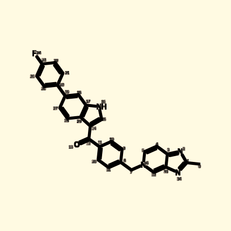 Cc1nc2ccn(Cc3ccc(C(=O)c4c[nH]c5cc(-c6ccc(F)cc6)ccc45)cc3)cc-2n1